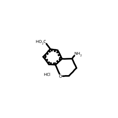 Cl.NC1CCOc2ccc(C(=O)O)cc21